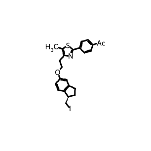 CC(=O)c1ccc(-c2nc(CCOc3ccc4c(c3)CC[C@H]4CI)c(C)s2)cc1